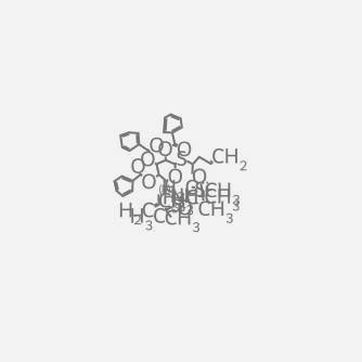 C=CCC(CO[Si](C)(C)C(C)(C)C)SC1OC([C@@H](CC=C)N[S@+]([O-])C(C)(C)C)C(OC(=O)c2ccccc2)C(OC(=O)c2ccccc2)C1OC(=O)c1ccccc1